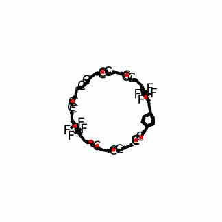 Fc1c(F)c2c(F)c(F)c1-c1ccc(cc1)-c1ccc(cc1)-c1ccc(cc1)-c1ccc(cc1)-c1c(F)c(F)c(c(F)c1F)-c1ccc(cc1)-c1ccc(cc1)-c1ccc(cc1)-c1ccc-2cc1